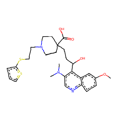 COc1ccc2ncc(N(C)C)c(C(O)CCC3(C(=O)O)CCN(CCSc4cccs4)CC3)c2c1